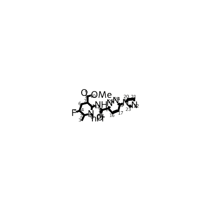 CCCN1C(C)C(F)CC(C(=O)OC)C1NC(=O)c1ccc(-n2ccnc2)nn1